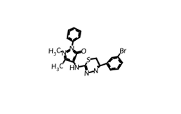 Cc1c(NC2=NN=C(c3cccc(Br)c3)CS2)c(=O)n(-c2ccccc2)n1C